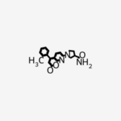 Cc1ccccc1-c1cc(=O)oc2nc(N3CCC(C(N)=O)C3)ccc12